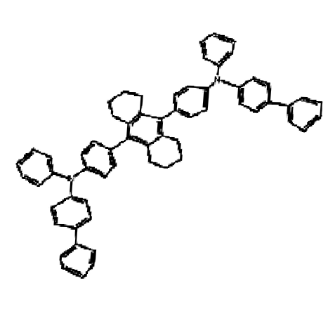 c1ccc(-c2ccc(N(c3ccccc3)c3ccc(-c4c5c(c(-c6ccc(N(c7ccccc7)c7ccc(-c8ccccc8)cc7)cc6)c6c4CCCC6)CCCC5)cc3)cc2)cc1